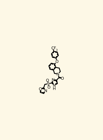 O=C(c1c[nH]c(S(=O)(=O)Cc2ncco2)n1)N1CCc2c(cccc2Oc2ccc(C(F)(F)F)cc2)C1